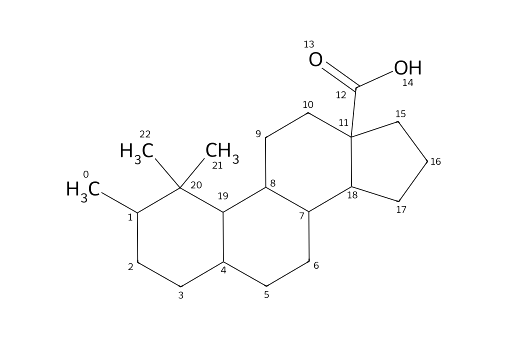 CC1CCC2CCC3C(CCC4(C(=O)O)CCCC34)C2C1(C)C